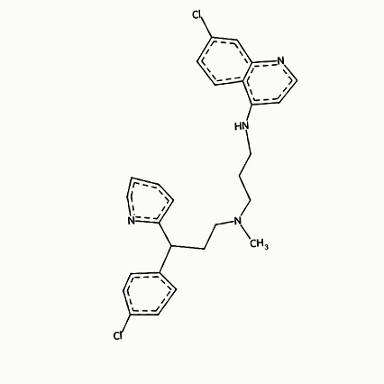 CN(CCCNc1ccnc2cc(Cl)ccc12)CCC(c1ccc(Cl)cc1)c1ccccn1